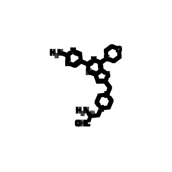 Nc1ncc(-c2nc(N3CCOCC3)c3sc(CN4CCN(C[C@H](N)C=O)CC4)cc3n2)cn1